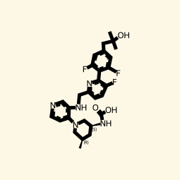 C[C@@H]1C[C@H](NC(=O)O)CN(c2ccncc2NCc2ccc(F)c(-c3c(F)cc(CC(C)(C)O)cc3F)n2)C1